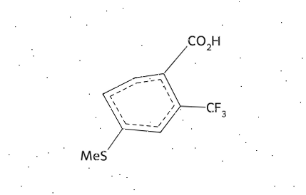 CSc1ccc(C(=O)O)c(C(F)(F)F)c1